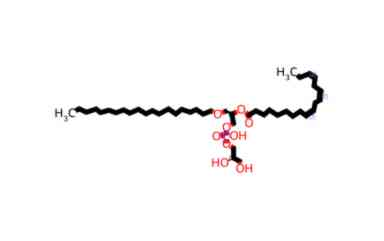 CC/C=C\C/C=C\C/C=C\CCCCCCCC(=O)O[C@H](COCCCCCCCCCCCCCCCCCCCC)COP(=O)(O)OC[C@@H](O)CO